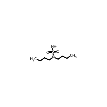 CCCCN(CCCC)S([NH])(=O)=O